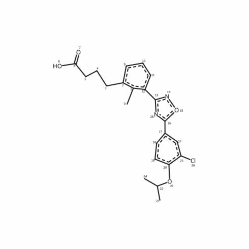 Cc1c(CCCC(=O)O)cccc1-c1noc(-c2ccc(OC(C)C)c(Cl)c2)n1